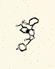 CN1CCN(C=C2N=C3CN=C(c4ccccc4Cl)c4cc([N+](=O)[O-])ccc4N3C2=O)CC1